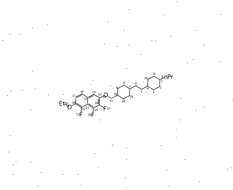 CCCC1CCC(CCC2CCC(COc3cc4ccc(OCC)c(F)c4c(F)c3F)CC2)CC1